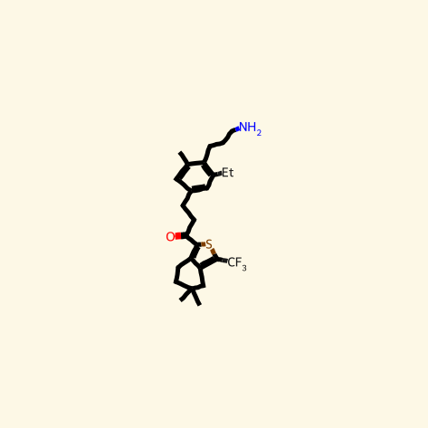 CCc1cc(CCC(=O)c2sc(C(F)(F)F)c3c2CCC(C)(C)C3)cc(C)c1CCCN